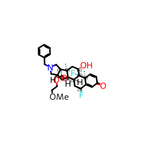 COCCOC(=O)[C@@]12CN(Cc3ccccc3)C[C@@H]1C[C@H]1[C@@H]3C[C@H](F)C4=CC(=O)C=C[C@]4(C)[C@@]3(F)[C@@H](O)C[C@@]12C